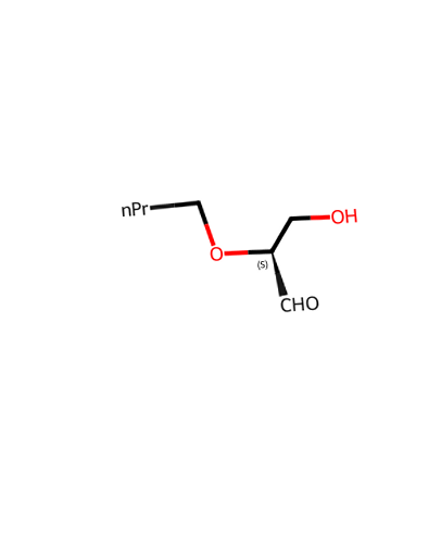 CCCCO[C@H](C=O)CO